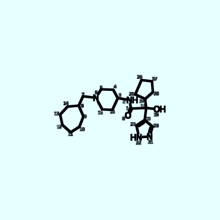 O=C(NC1CCN(CC2CCCCCC2)CC1)C(O)(c1cn[nH]c1)C1CCCC1